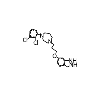 Clc1cccc(N2CCCN(CCCOc3ccc4c(c3)NNC4)CC2)c1Cl